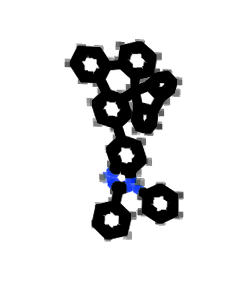 c1ccc(-c2nc3cc(-c4ccc5c(c4)C4(c6ccccc6-c6ccccc6-5)c5ccccc5-c5ccccc54)ccc3n2-c2ccccc2)cc1